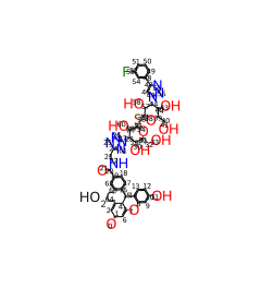 O=C1C=CC2C(=C1)Oc1cc(O)ccc1C2c1ccc(C(=O)NCc2nnn(C3C(O)[C@@H](CO)O[C@@H](S[C@@H]4OC(CO)[C@H](O)C(n5cc(-c6cccc(F)c6)nn5)C4O)[C@@H]3O)n2)cc1C(=O)O